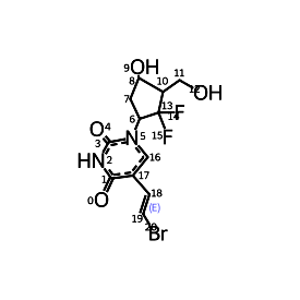 O=c1[nH]c(=O)n(C2CC(O)C(CO)C2(F)F)cc1/C=C/Br